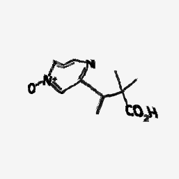 CC(c1c[n+]([O-])ccn1)C(C)(C)C(=O)O